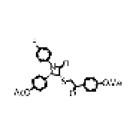 COc1ccc(C(=O)CS[C@H]2C(=O)N(c3ccc(F)cc3)[C@@H]2c2ccc(OC(C)=O)cc2)cc1